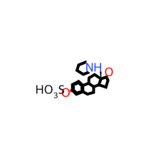 C1CCNCC1.C[C@]12CCC3c4ccc(OS(=O)(=O)O)cc4CCC3C1CCC2=O